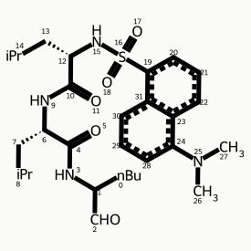 CCCCC(C=O)NC(=O)[C@H](CC(C)C)NC(=O)[C@H](CC(C)C)NS(=O)(=O)c1cccc2c(N(C)C)cccc12